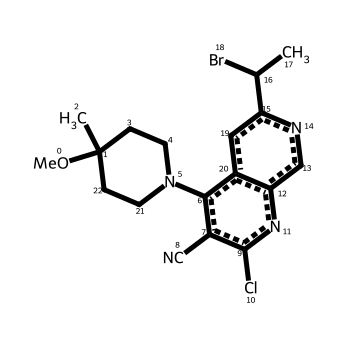 COC1(C)CCN(c2c(C#N)c(Cl)nc3cnc(C(C)Br)cc23)CC1